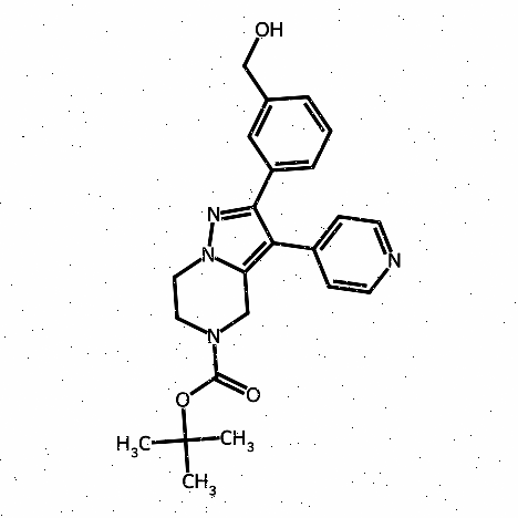 CC(C)(C)OC(=O)N1CCn2nc(-c3cccc(CO)c3)c(-c3ccncc3)c2C1